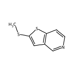 CSc1cc2cnccc2s1